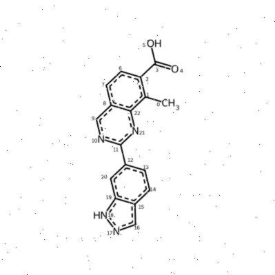 Cc1c(C(=O)O)ccc2cnc(-c3ccc4cn[nH]c4c3)nc12